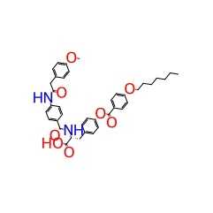 CCCCCCCOc1ccc(C(=O)Oc2ccc(C[C@@H](NC(=O)c3ccc(NC(=O)Cc4ccc(OC)cc4)cc3)C(=O)O)cc2)cc1